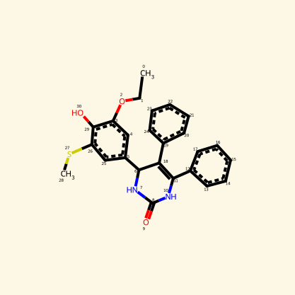 CCOc1cc(C2NC(=O)NC(c3ccccc3)=C2c2ccccc2)cc(SC)c1O